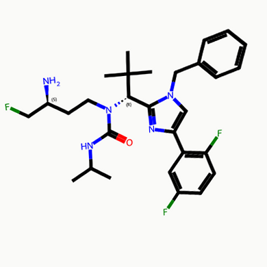 CC(C)NC(=O)N(CC[C@H](N)CF)[C@@H](c1nc(-c2cc(F)ccc2F)cn1Cc1ccccc1)C(C)(C)C